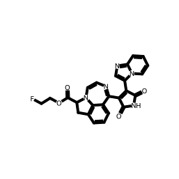 O=C1NC(=O)C(c2cnc3ccccn23)=C1C1=NC=CN2c3c(cccc31)CC2C(=O)OCCF